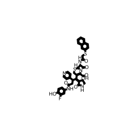 O=C(CC(C(=C1CCNC1=O)C1=C(C(=O)O)N2C(=O)[C@@H](NC(=O)CSc3ccc4ccccc4c3)[C@H]2SC1)c1ccncc1)Nc1ccc(O)c(F)c1